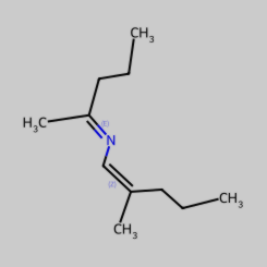 CCC/C(C)=C\N=C(/C)CCC